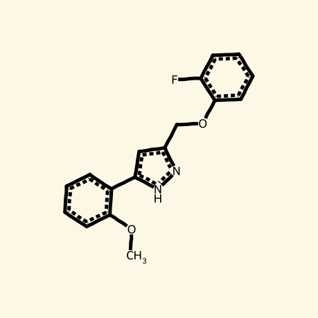 COc1ccccc1-c1cc(COc2ccccc2F)n[nH]1